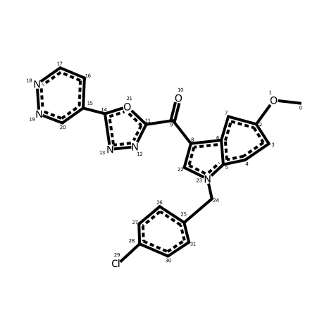 COc1ccc2c(c1)c(C(=O)c1nnc(-c3ccnnc3)o1)cn2Cc1ccc(Cl)cc1